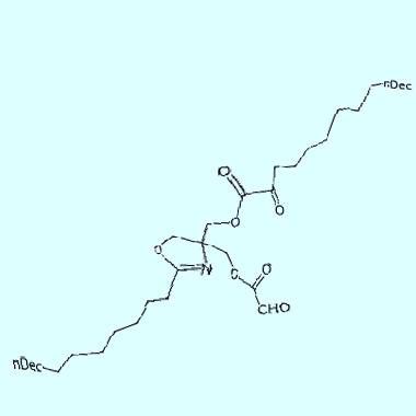 CCCCCCCCCCCCCCCCCC(=O)C(=O)OCC1(COC(=O)C=O)COC(CCCCCCCCCCCCCCCCC)=N1